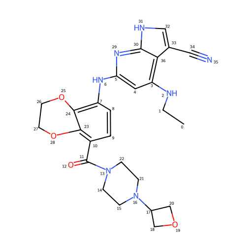 CCNc1cc(Nc2ccc(C(=O)N3CCN(C4COC4)CC3)c3c2OCCO3)nc2[nH]cc(C#N)c12